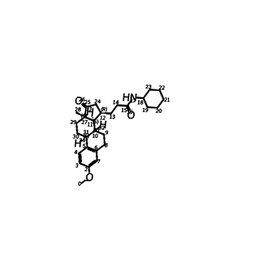 COc1ccc2c(c1)CC[C@H]1[C@@H]3[C@H](CCC(=O)NC4CCCCC4)CC(=O)[C@@]3(C)CC[C@H]21